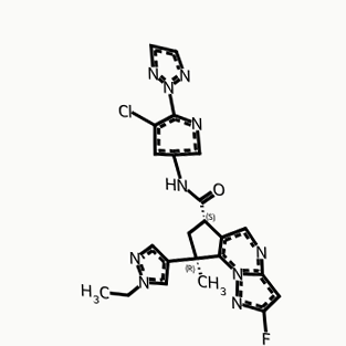 CCn1cc([C@@]2(C)C[C@H](C(=O)Nc3cnc(-n4nccn4)c(Cl)c3)c3cnc4cc(F)nn4c32)cn1